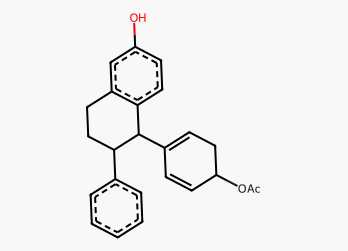 CC(=O)OC1C=CC(C2c3ccc(O)cc3CCC2c2ccccc2)=CC1